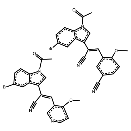 COc1ccc(C#N)cc1/C=C(\C#N)c1cn(C(C)=O)c2ccc(Br)cc12.COc1ccncc1/C=C(\C#N)c1cn(C(C)=O)c2ccc(Br)cc12